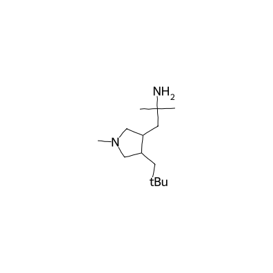 CN1CC(CC(C)(C)C)C(CC(C)(C)N)C1